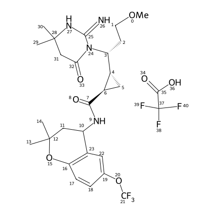 COCC[C@H]([C@@H]1C[C@H]1C(=O)NC1CC(C)(C)Oc2ccc(OC(F)(F)F)cc21)N1C(=N)NC(C)(C)CC1=O.O=C(O)C(F)(F)F